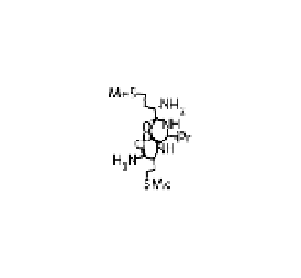 CSCC[C@H](N)C(=O)N[C@H](C(=O)N[C@H](CCSC)C(N)=O)C(C)C